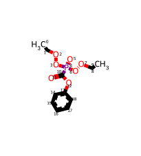 CCOOP(=O)(OOCC)C(=O)Oc1ccccc1